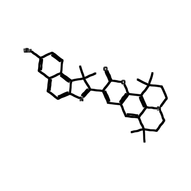 CC(C)(C)c1ccc2c3c(ccc2c1)N=C(c1cc2cc4c5c(c2oc1=O)C(C)(C)CCN5CCC4(C)C)C3(C)C